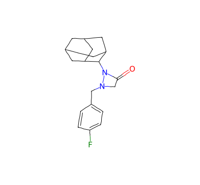 O=C1CN(Cc2ccc(F)cc2)N1C1C2CC3CC(C2)CC1C3